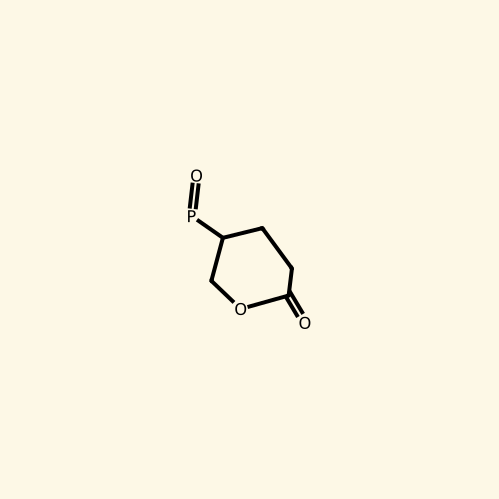 O=PC1CCC(=O)OC1